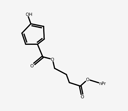 CCCOC(=O)CCCOC(=O)c1ccc(O)cc1